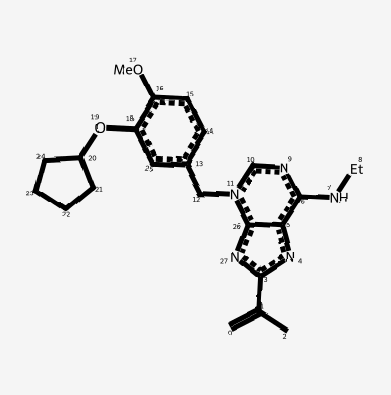 C=C(C)c1nc2c(NCC)ncn(Cc3ccc(OC)c(OC4CCCC4)c3)c-2n1